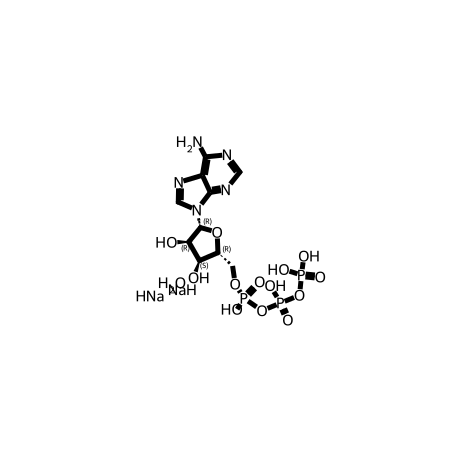 Nc1ncnc2c1ncn2[C@@H]1O[C@H](COP(=O)(O)OP(=O)(O)OP(=O)(O)O)[C@@H](O)[C@H]1O.O.[NaH].[NaH]